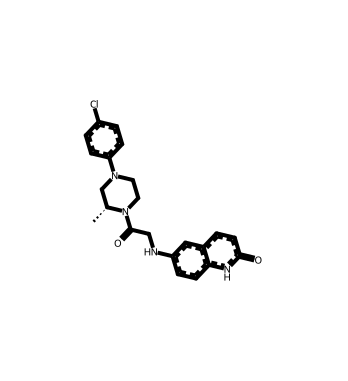 C[C@@H]1CN(c2ccc(Cl)cc2)CCN1C(=O)CNc1ccc2[nH]c(=O)ccc2c1